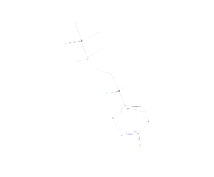 CC(C)(C)[Si](C)(C)OCC(F)(F)c1ccc(Cl)nc1